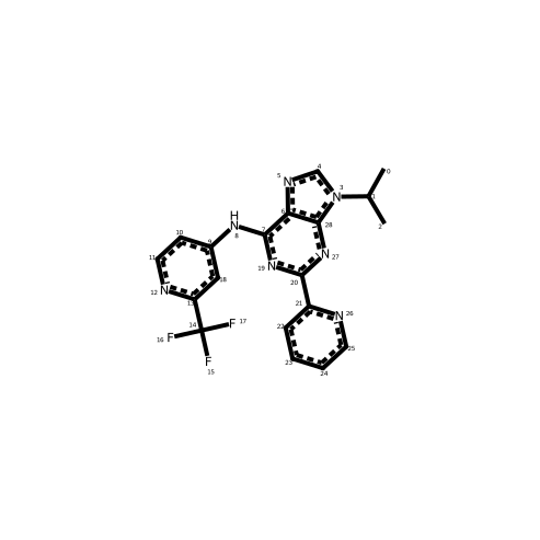 CC(C)n1cnc2c(Nc3ccnc(C(F)(F)F)c3)nc(-c3ccccn3)nc21